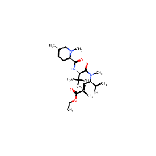 CCOC(=O)/C(C)=C/[C@H](C(C)C)N(C)C(=O)[C@@H](NC(=O)[C@H]1CC[C@H](C)CN1C)C(C)(C)C